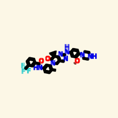 COc1cc(Nc2ncc3c(n2)C2(CC2)C(=O)N(c2cc(NC(=O)c4cccc(C(F)(F)F)c4)ccc2C)C3)ccc1N1CCNCC1